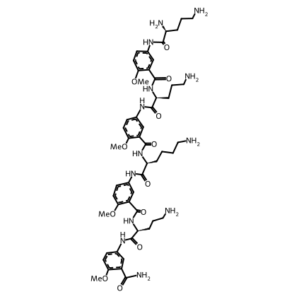 COc1ccc(NC(=O)[C@H](CCCN)NC(=O)c2cc(NC(=O)[C@H](CCCCN)NC(=O)c3cc(NC(=O)[C@H](CCCN)NC(=O)c4cc(NC(=O)[C@@H](N)CCCN)ccc4OC)ccc3OC)ccc2OC)cc1C(N)=O